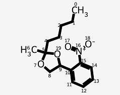 CCCCCC1(C)OCC(c2ccccc2[N+](=O)[O-])O1